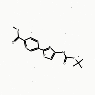 COC(=O)c1ccc(-c2nc(NC(=O)OC(C)(C)C)cs2)cn1